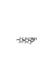 C=C1CCN(c2ccc(C34CNCC3C4)cc2)CC1